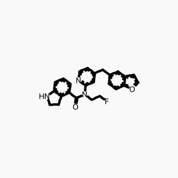 O=C(c1cccc2c1CCN2)N(CCF)c1cc(Cc2ccc3occc3c2)ccn1